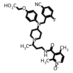 Cc1cc[n+]([O-])c(C)c1C(=O)NCC[C@@H](C)N1CCC(N(Cc2cc(C#N)ccc2F)c2ccc(OCC(=O)O)cc2)CC1